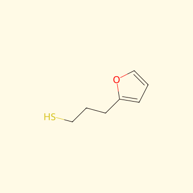 SCCCc1ccco1